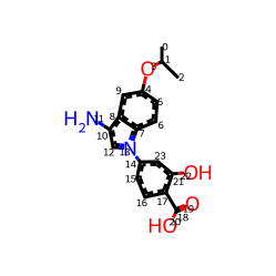 CC(C)Oc1ccc2c(c1)c(N)cn2-c1ccc(C(=O)O)c(O)c1